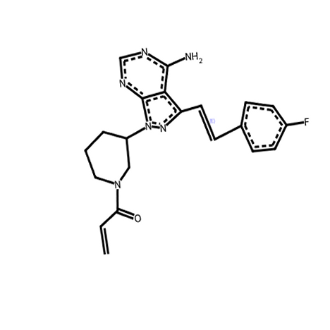 C=CC(=O)N1CCCC(n2nc(/C=C/c3ccc(F)cc3)c3c(N)ncnc32)C1